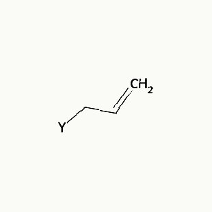 C=C[CH2][Y]